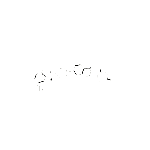 N#Cc1ccc(F)c(S(=O)(=O)N2CCN(c3cc4c(cc3F)C(=O)N(C3CCC(=O)NC3=O)C4)CC2)c1